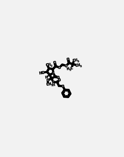 COC1(NC(=O)COc2ccccc2)C(=O)N2C(C(=O)OCOC(=O)C(C)(C)C)C(C)C(O)[C@@H]21